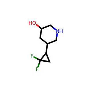 OC1CNCC(C2CC2(F)F)C1